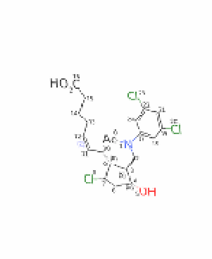 CC(=O)N(C[C@H]1[C@H](O)CC(Cl)[C@@H]1C/C=C\CCCC(=O)O)c1cc(Cl)cc(Cl)c1